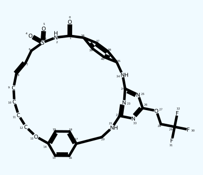 O=C1NS(=O)(=O)C/C=C/CCCCOc2ccc(cc2)CNc2nc(nc(OCC(F)(F)F)n2)Nc2ccc1cc2